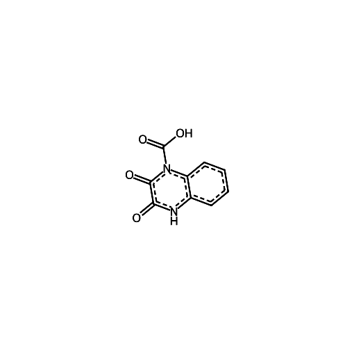 O=C(O)n1c(=O)c(=O)[nH]c2ccccc21